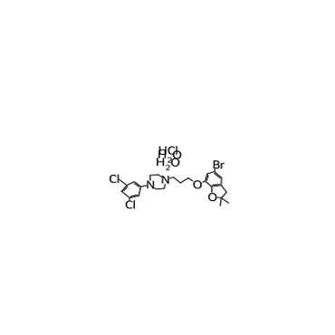 CC1(C)Cc2cc(Br)cc(OCCCN3CCN(c4cc(Cl)cc(Cl)c4)CC3)c2O1.Cl.O.O